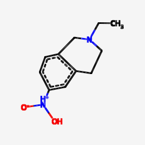 CCN1CCc2cc([NH+]([O-])O)ccc2C1